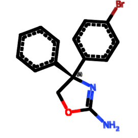 NC1=N[C@@](c2ccccc2)(c2ccc(Br)cc2)CO1